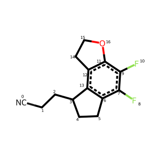 N#CCCC1CCc2c(F)c(F)c3c(c21)CCO3